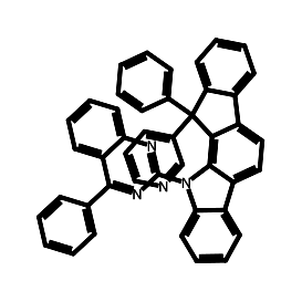 c1ccc(-c2nc(-n3c4ccccc4c4ccc5c(c43)C(c3ccccc3)(c3cccnc3)c3ccccc3-5)nc3ccccc23)cc1